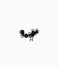 O=C(Nc1ccc(OC(F)(F)F)c(F)c1)NC1CCN(C(=O)C2CCCOC2)CC1